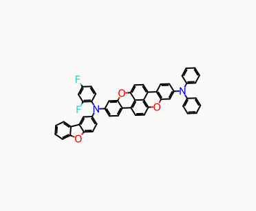 Fc1ccc(N(c2ccc3c(c2)Oc2ccc4c5c(ccc-3c25)Oc2cc(N(c3ccccc3)c3ccccc3)ccc2-4)c2ccc3oc4ccccc4c3c2)c(F)c1